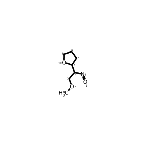 COCC(N=O)C1CCCO1